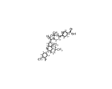 CC(C)(C)c1cc(-c2ccc(Cl)c(F)c2)nc2cc(C(=O)N3CCN(c4ccc(C(=O)O)cn4)CC3(C)C)oc12